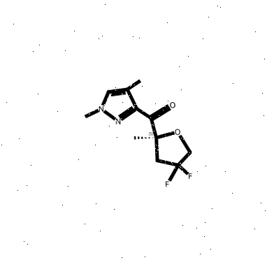 Cc1cn(C)nc1C(=O)[C@]1(C)CC(F)(F)CO1